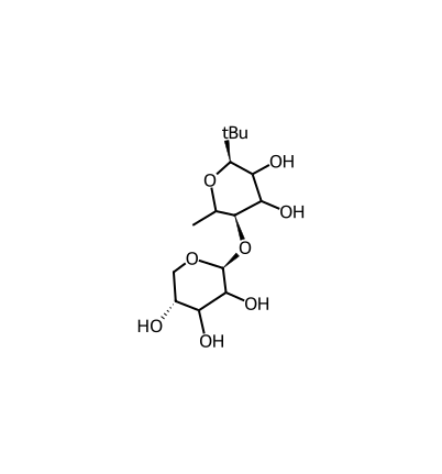 CC1O[C@@H](C(C)(C)C)C(O)C(O)[C@H]1O[C@@H]1OC[C@@H](O)C(O)C1O